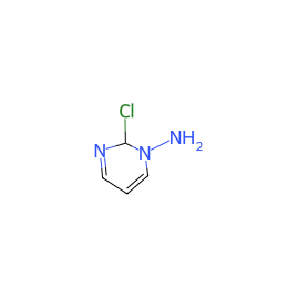 NN1C=CC=NC1Cl